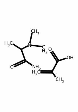 C=C(C)C(=O)O.CC(C(N)=O)N(C)C